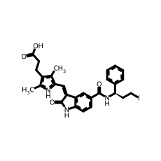 Cc1[nH]c(/C=C2\C(=O)Nc3ccc(C(=O)N[C@H](CCI)c4ccccc4)cc32)c(C)c1CCC(=O)O